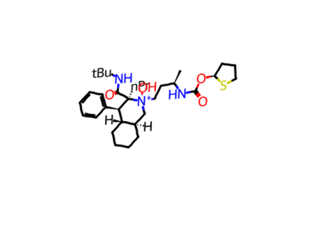 CCC[C@@]1(C(=O)NC(C)(C)C)[C@H](c2ccccc2)[C@H]2CCCC[C@@H]2C[N@+]1(O)CC[C@@H](C)NC(=O)O[C@H]1CCCS1